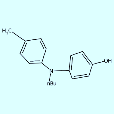 CCCCN(c1ccc(C)cc1)c1ccc(O)cc1